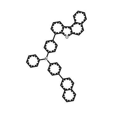 c1ccc(N(c2ccc(-c3ccc4ccccc4c3)cc2)c2ccc(-c3cccc4c3oc3ccc5ccccc5c34)cc2)cc1